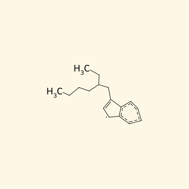 CCCCC(CC)CC1=C[CH]c2ccccc21